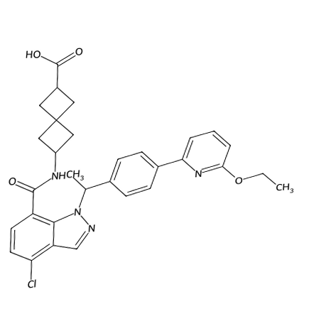 CCOc1cccc(-c2ccc(C(C)n3ncc4c(Cl)ccc(C(=O)NC5CC6(C5)CC(C(=O)O)C6)c43)cc2)n1